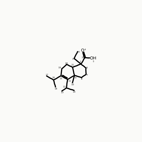 CCC1(C(=O)O)CCCC2(C)C(C(C)C)=C(C(C)C)CCC21